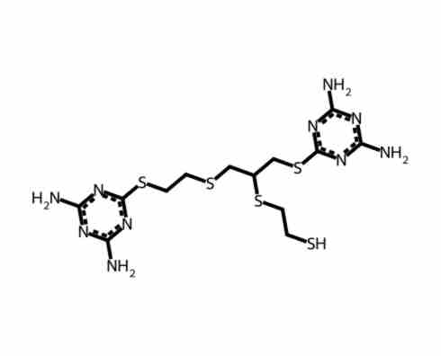 Nc1nc(N)nc(SCCSCC(CSc2nc(N)nc(N)n2)SCCS)n1